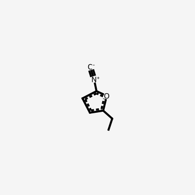 [C-]#[N+]c1ccc(CC)o1